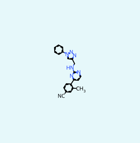 Cc1cc(C#N)ccc1-c1ccnc(NCc2cn(-c3ccccc3)nn2)n1